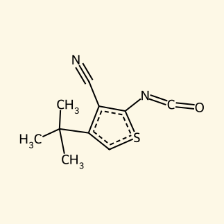 CC(C)(C)c1csc(N=C=O)c1C#N